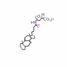 CC12CCCCC1CCC1C2CCC2(C)C(CCCC(=O)NC(CCC(=O)O)C(=O)O)CCC12